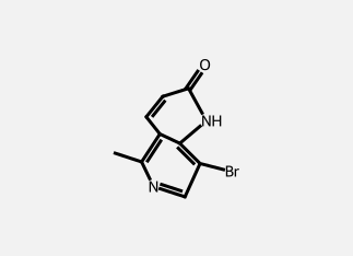 Cc1ncc(Br)c2[nH]c(=O)ccc12